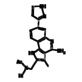 CCN(Cc1[nH]c2c(c(N)nc3cc(-c4cc[nH]n4)ccc32)c1C)C(C)=O